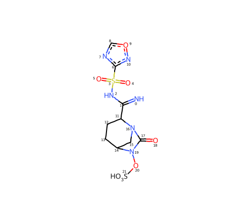 N=C(NS(=O)(=O)c1ncon1)C1CCC2CN1C(=O)N2OS(=O)(=O)O